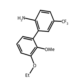 CCOc1cccc(-c2cc(C(F)(F)F)ccc2N)c1OC